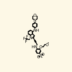 COCCOc1cc(S(C)(=O)=O)ccc1NCC#Cc1cc2c(Nc3ccc(N4CCOCC4)cc3)cccc2n1CC(F)(F)F